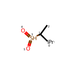 C[C](C)C(C)[SH](=O)=O